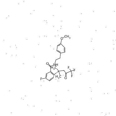 COc1ccc(CCNC(=O)c2cc(F)ccc2C(C)(C)CC(=O)C(F)(F)F)cc1